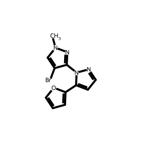 Cn1cc(Br)c(-n2nccc2-c2ccco2)n1